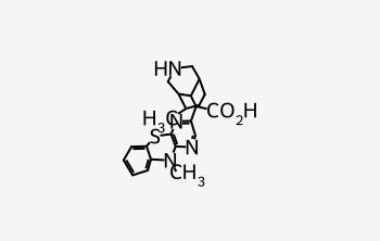 CC1CCC2CNCC1C2C(C(=O)O)c1cnc2c(n1)Sc1ccccc1N2C